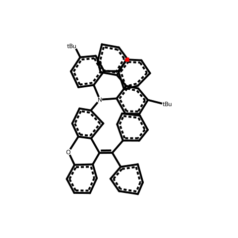 CC(C)(C)c1ccc(N(c2ccc3c(c2)C(=C(c2ccccc2)c2ccccc2)c2ccccc2O3)c2ccc(C(C)(C)C)cc2-c2ccccc2)c(-c2ccccc2)c1